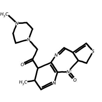 CC1C=NC2=C(N=CC3=CSCC3[N+]2=O)C1C(=O)CN1CCN(C)CC1